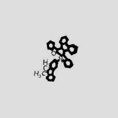 CC1(C)c2ccccc2-c2cc(-n3c4ccccc4c4c5c6ccccc6c6ccccc6c5c5c6ccccc6oc5c43)ccc21